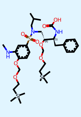 CNc1cc(S(=O)(=O)N(CC(C)C)C[C@@H](OCOCC[Si](C)(C)C)[C@H](Cc2ccccc2)NC(=O)O)ccc1OCOCC[Si](C)(C)C